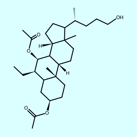 CC[C@@H]1C2C[C@H](OC(C)=O)CC[C@@]2(C)[C@H]2CCC3(C)C([C@H](C)CCCO)CC[C@H]3C2[C@@H]1OC(C)=O